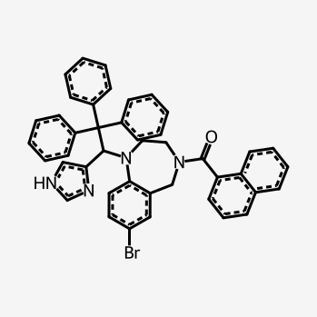 O=C(c1cccc2ccccc12)N1CCN(C(c2c[nH]cn2)C(c2ccccc2)(c2ccccc2)c2ccccc2)c2ccc(Br)cc2C1